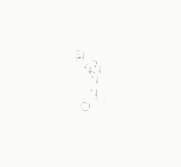 CCOc1ccnc(N2CCN(C(=O)c3sccc3Cl)CC2)n1